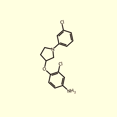 Nc1ccc(OC2CCN(c3cccc(Cl)c3)C2)c(Cl)c1